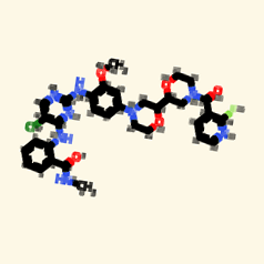 CNC(=O)c1ccccc1Nc1nc(Nc2ccc(N3CCOC(C4CN(C(=O)c5cccnc5F)CCO4)C3)cc2OC)ncc1Cl